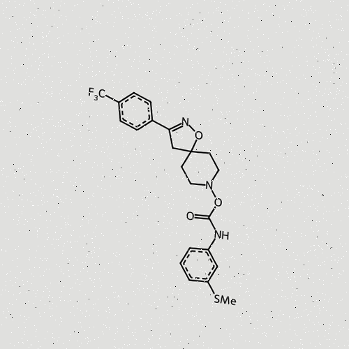 CSc1cccc(NC(=O)ON2CCC3(CC2)CC(c2ccc(C(F)(F)F)cc2)=NO3)c1